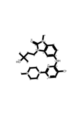 CN1CCN(c2ncc(Cl)c(Nc3ccc4c(c3)n(CCC(C)(C)O)c(=O)n4C)n2)CC1